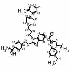 CCCCN(Cc1ccc(CN)cc1)C(=O)c1ccc2c(c1)nc(CCc1ccc(C(=N)N)cc1)n2CCCN1CCN(c2ccccc2C)CC1